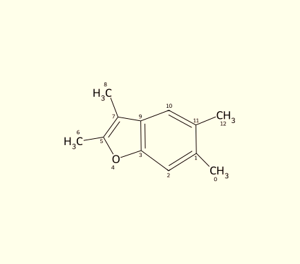 Cc1cc2oc(C)c(C)c2cc1C